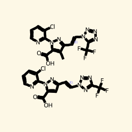 Cc1c(/C=C/n2nnnc2C(F)(F)F)nn(-c2ncccc2Cl)c1C(=O)O.O=C(O)c1cc(/C=C/n2nnc(C(F)(F)F)n2)nn1-c1ncccc1Cl